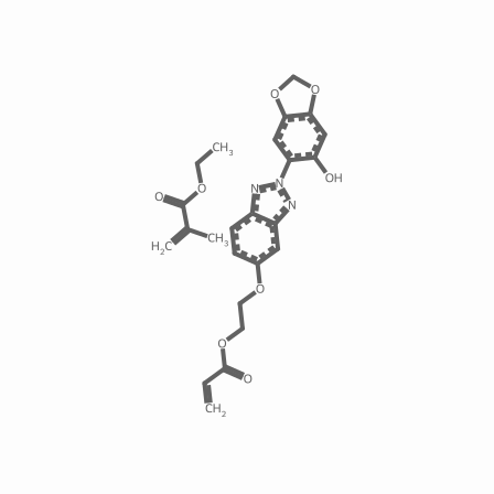 C=C(C)C(=O)OCC.C=CC(=O)OCCOc1ccc2nn(-c3cc4c(cc3O)OCO4)nc2c1